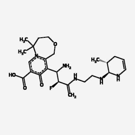 C=C(NCCN[C@@H]1NC=CC[C@H]1C)[C@@H](F)C(N)c1c2n(cc(C(=O)O)c1=O)C(C)(C)CCOC2